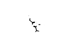 COCc1nc(C(C)C)n(C)n1